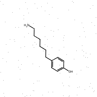 NCCCCCCc1ccc(O)cc1